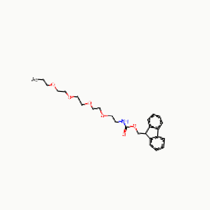 CC(=O)CCOCCOCCOCCOCCNC(=O)OCC1c2ccccc2-c2ccccc21